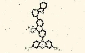 Cc1ccc2c(c1)Sc1cc(C)ccc1N2c1ccc2c(c1)C(C)(C)c1cc(-c3cccc4c3sc3ccccc34)ccc1-2